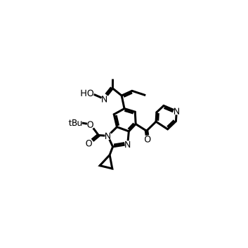 C/C=C(/C(C)=NO)c1cc(C(=O)c2ccncc2)c2nc(C3CC3)n(C(=O)OC(C)(C)C)c2c1